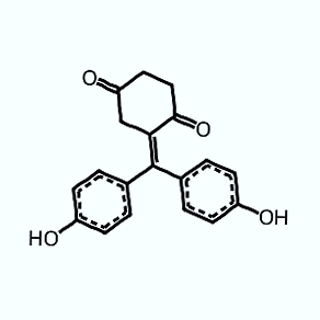 O=C1CCC(=O)C(=C(c2ccc(O)cc2)c2ccc(O)cc2)C1